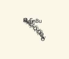 CCCCC(C)c1cc(-c2ccc(-c3ccc(OCC4CO4)cc3)cc2)ccc1OCC1CO1